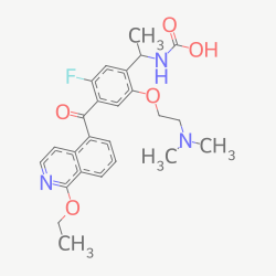 CCOc1nccc2c(C(=O)c3cc(OCCN(C)C)c(C(C)NC(=O)O)cc3F)cccc12